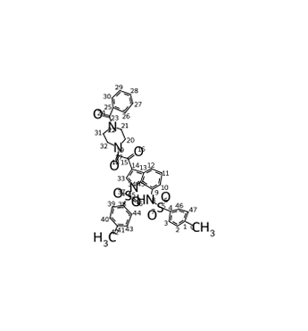 Cc1ccc(S(=O)(=O)Nc2cccc3c(C(=O)C(=O)N4CCN(C(=O)c5ccccc5)CC4)cn(S(=O)(=O)c4ccc(C)cc4)c23)cc1